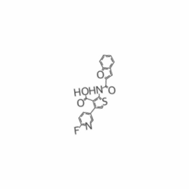 O=C(Nc1scc(-c2ccc(F)nc2)c1C(=O)O)c1cc2ccccc2o1